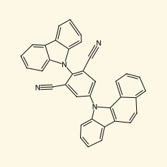 N#Cc1cc(-n2c3ccccc3c3ccc4ccccc4c32)cc(C#N)c1-n1c2ccccc2c2ccccc21